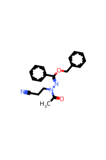 CC(=O)N(CCC#N)N=C(OCc1ccccc1)c1ccccc1